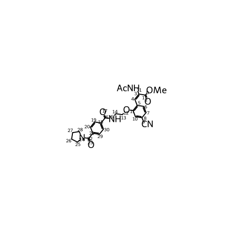 COC(=O)C(=Cc1ccc(C#N)cc1OCCNC(=O)c1ccc(C(=O)N2CCCC2)cc1)NC(C)=O